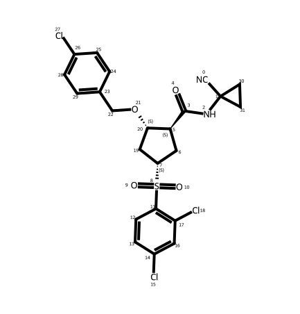 N#CC1(NC(=O)[C@H]2C[C@H](S(=O)(=O)c3ccc(Cl)cc3Cl)C[C@@H]2OCc2ccc(Cl)cc2)CC1